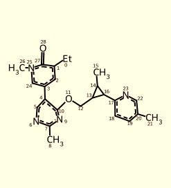 CCc1cc(-c2cnc(C)nc2OCC2C(C)C2c2ccc(C)cn2)cn(C)c1=O